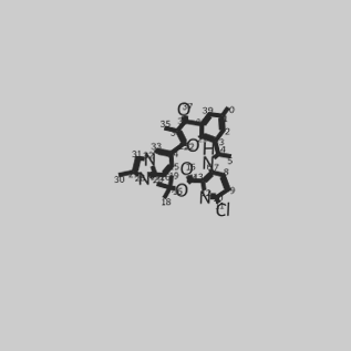 Cc1cc(C(C)Nc2ccc(Cl)nc2C(=O)OC(C)(C)C)c2oc(-c3ccc4nc(C)cn4c3)c(C)c(=O)c2c1